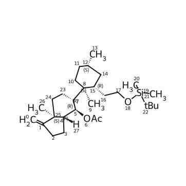 C=C1CC[C@H]2[C@H](OC(C)=O)[C@@H]([C@@]3(C)CC[C@H](C)C[C@@H]3CCO[Si](C)(C)C(C)(C)C)CC[C@]12C